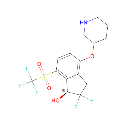 O=S(=O)(c1ccc(OC2CCCNC2)c2c1[C@H](O)C(F)(F)C2)C(F)(F)F